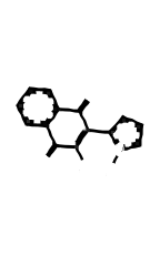 CC1=C(c2cccn2C)C(=O)c2ccccc2C1=O